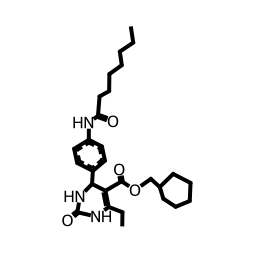 CCCCCCCC(=O)Nc1ccc(C2NC(=O)NC(CC)=C2C(=O)OCC2CCCCC2)cc1